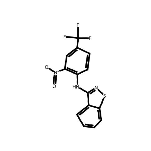 O=[N+]([O-])c1cc(C(F)(F)F)ccc1Nc1nsc2ccccc12